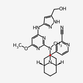 COc1cc(Nc2cc(CO)[nH]n2)nc(N(C)C2C[C@H]3CCC[C@@H](C2)N3Cc2ccnc(C#N)c2)n1